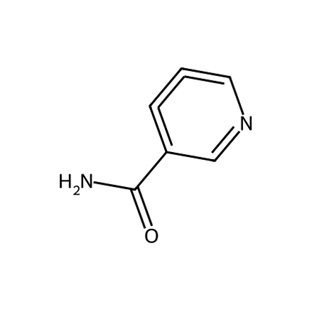 NC(=O)C1=C=C=CN=C1